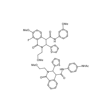 COCCN1C(=O)c2c(ccc(OC)c2F)C(C(=O)Nc2cccc(OC)c2)C1c1cccs1.COCCN1C(=O)c2ccccc2C(C(=O)Nc2ccc(NC(C)=O)cc2)C1c1cccs1